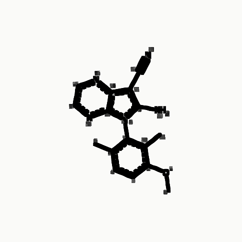 COc1ccc(C)c(-n2c(N)c(C#N)c3nccnc32)c1C